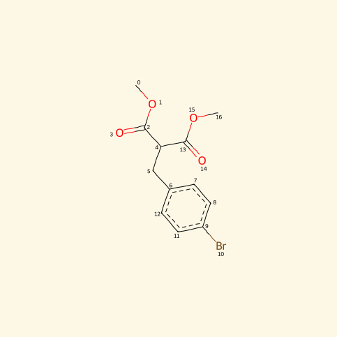 COC(=O)C(Cc1ccc(Br)cc1)C(=O)OC